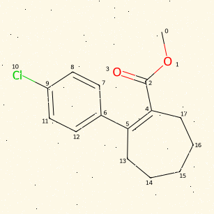 COC(=O)C1=C(c2ccc(Cl)cc2)CCCCC1